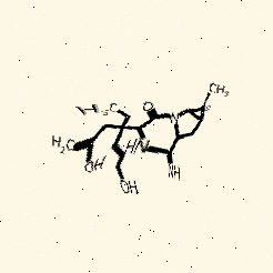 C=C(O)CC(CC)(CCO)C1NC(=N)C2CC3C([C@H]3C)N2C1=O